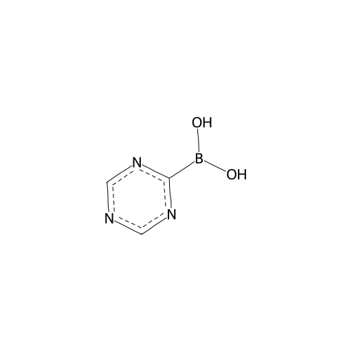 OB(O)c1ncncn1